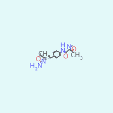 Cc1ocnc1C(=O)Nc1ccc(CC[C@@H]2N=C(N)O[C@H]2C)cc1